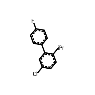 CC(C)c1ccc(Cl)cc1-c1ccc(F)cc1